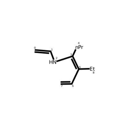 C=CN/C(CCC)=C(\C=C)CC